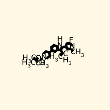 Cc1cc(-c2[nH]c3ccc(C4CCN(C(=O)OC(C)(C)C)CC4)cc3c2C(C)C)cc(F)n1